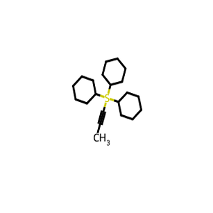 CC#CS(C1CCCCC1)(C1CCCCC1)C1CCCCC1